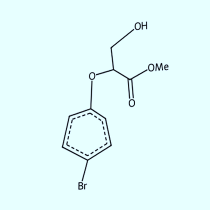 COC(=O)C(CO)Oc1ccc(Br)cc1